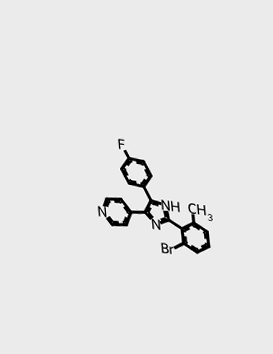 Cc1cccc(Br)c1-c1nc(-c2ccncc2)c(-c2ccc(F)cc2)[nH]1